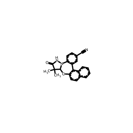 CC1(C)C(=O)NN2c3ccc(C#N)cc3-c3c(ccc4ccccc34)OC21